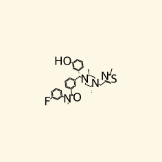 Cc1nc(CN2C[C@H](C)N([C@@H](c3cccc(O)c3)c3cccc(C(=O)N(C)c4cccc(F)c4)c3)C[C@H]2C)cs1